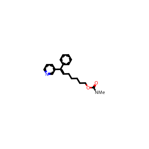 CNC(=O)OCCCCC/C=C(\c1ccccc1)c1cccnc1